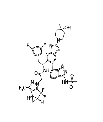 Cn1nc(NS(C)(=O)=O)c2cccc(-c3cc4sc(N5CCC(C)(O)CC5)nc4nc3C(Cc3cc(F)cc(F)c3)NC(=O)Cn3nc(C(F)(F)F)c4c3C(F)(F)[C@@H]3C[C@H]43)c21